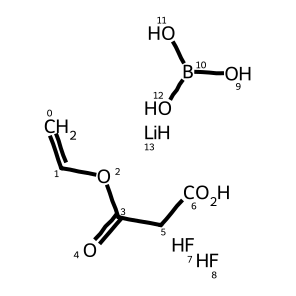 C=COC(=O)CC(=O)O.F.F.OB(O)O.[LiH]